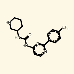 O=C(Nc1ccnc(-c2ccc(C(F)(F)F)cc2)n1)NC1CCCNC1